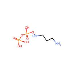 NCCCNOP(=O)(O)OP(=O)(O)O